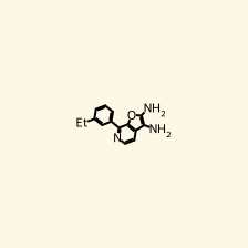 CCc1cccc(-c2nccc3c(N)c(N)oc23)c1